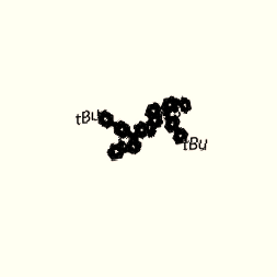 CC(C)(C)c1ccc(-c2ccc(N(c3ccc4c(c3)C(C)(C)c3cc(N(c5ccc(-c6ccc(C(C)(C)C)cc6)cc5)c5cccc6c5sc5ccccc56)c5ccccc5c3-4)c3cccc4c3sc3ccccc34)cc2)cc1